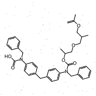 C=C(C)OCC(C)COCC(C)OC(=O)N(Cc1ccccc1)c1ccc(Cc2ccc(N(Cc3ccccc3)C(=O)O)cc2)cc1